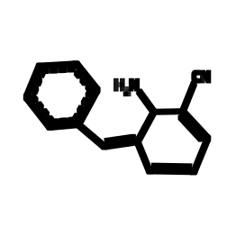 N#CC1=CC=CC(=Cc2ccccc2)C1N